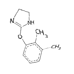 Cc1cccc(OC2=NCCN2)c1C